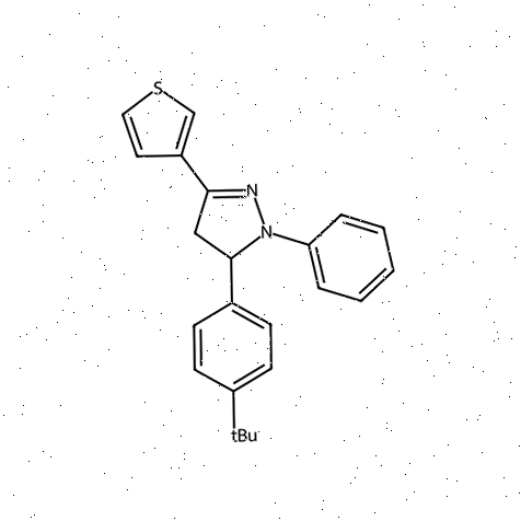 CC(C)(C)c1ccc(C2CC(c3ccsc3)=NN2c2ccccc2)cc1